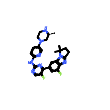 C[C@@H]1CN(c2ccc(Nc3ncc(F)c(-c4cc(F)c5nc6n(c5c4)C(C)(C)CC6)n3)nc2)CCN1